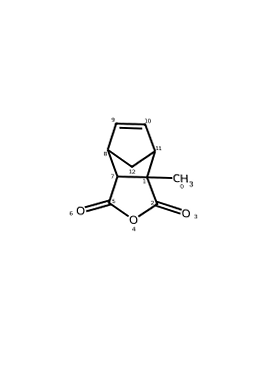 CC12C(=O)OC(=O)C1C1C=CC2C1